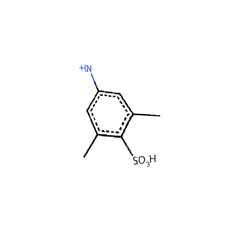 Cc1cc([NH])cc(C)c1S(=O)(=O)O